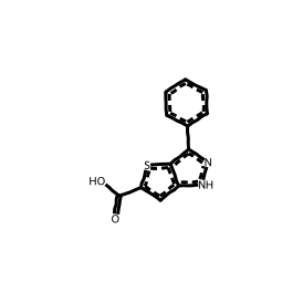 O=C(O)c1cc2[nH]nc(-c3ccccc3)c2s1